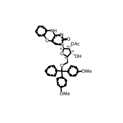 COc1ccc(C(OC[C@H]2O[C@@H](n3cc4c(nc3=O)Nc3ccccc3O4)[C@H](OC(C)=O)[C@@H]2O)(c2ccccc2)c2ccc(OC)cc2)cc1